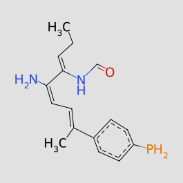 CC/C=C(NC=O)/C(N)=C\C=C(/C)c1ccc(P)cc1